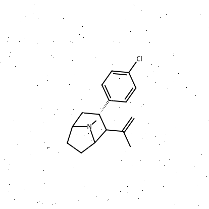 C=C(C)C1C2CCC(C[C@@H]1c1ccc(Cl)cc1)N2C